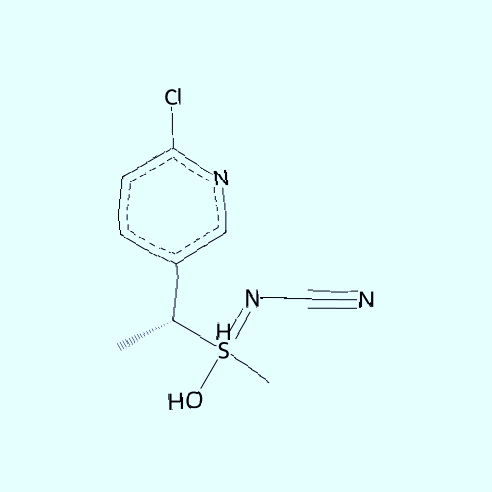 C[C@H](c1ccc(Cl)nc1)[SH](C)(O)=NC#N